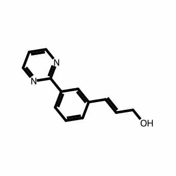 OCC=Cc1cccc(-c2ncccn2)c1